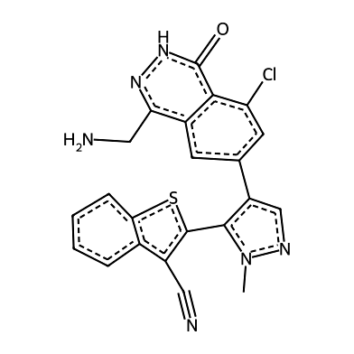 Cn1ncc(-c2cc(Cl)c3c(=O)[nH]nc(CN)c3c2)c1-c1sc2ccccc2c1C#N